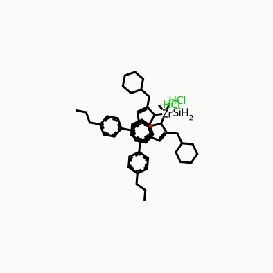 CCCc1ccc(-c2cccc3c2C=C(CC2CCCCC2)[CH]3[Zr]([CH3])([CH3])(=[SiH2])[CH]2C(CC3CCCCC3)=Cc3c(-c4ccc(CCC)cc4)cccc32)cc1.Cl.Cl